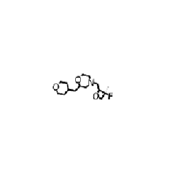 C[C@]1(F)COC1CN1CCOC(CC2CCOCC2)C1